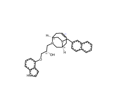 O[C@H](COc1cccc2[nH]ccc12)CN1C[C@@H]2C/C=C\C[C@H]1CN2Cc1ccc2ccccc2c1